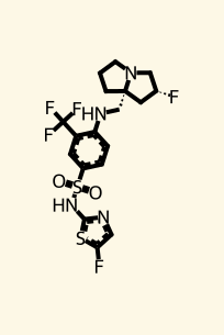 O=S(=O)(Nc1ncc(F)s1)c1ccc(NC[C@]23CCCN2C[C@H](F)C3)c(C(F)(F)F)c1